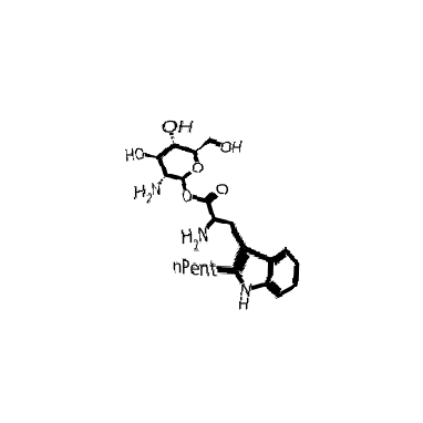 CCCCCc1[nH]c2ccccc2c1CC(N)C(=O)OC1O[C@H](CO)[C@@H](O)[C@H](O)[C@H]1N